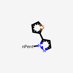 CCCCCn1nccc1-c1cc[c]s1